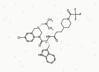 CN(C)C[C@H]1Cc2cc(Cl)ccc2N(C(=O)[C@@H](Cc2c[nH]c3ccccc23)NC(=O)CCC2CCN(C(=O)C(F)(F)F)CC2)C1